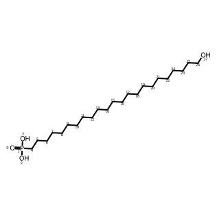 O=P(O)(O)CCCCCCCCCCCCCCCCCCCCCCCO